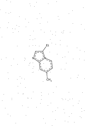 CCc1cnc2cc(C)ccn12